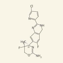 C[C@]1(c2cc3c(cc2F)CNC(c2ccc(Cl)cn2)=N3)N=C(N)OCC1(F)F